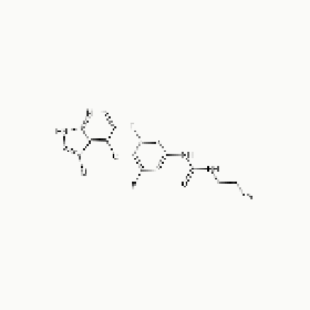 CC(C)CCNC(=O)Nc1cc(F)c(Oc2ccnc3[nH]cc(Cl)c23)c(F)c1